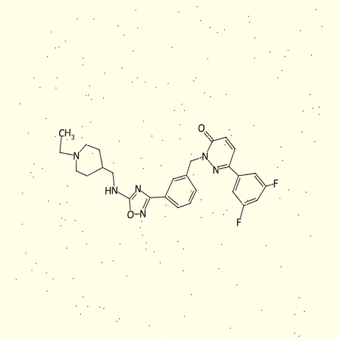 CCN1CCC(CNc2nc(-c3cccc(Cn4nc(-c5cc(F)cc(F)c5)ccc4=O)c3)no2)CC1